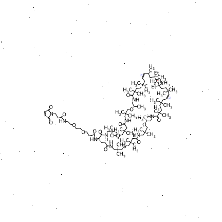 CCC(C)(C)CCC(C)(C)/C=C\CC(C)(C)CCC(C)(C)C(=O)NCC(C)OCC(C)(C)CNC(=O)CC(C)(C)COCC(C)(C)CNC(=O)CC[C@H](NC(=O)CCOCCOCCNC(=O)CCN1C(=O)C=CC1=O)C(=O)NCC(C)(C)COCC(C)(C)CC(=O)NCC(C)(C)COC(C)CNC(=O)C(C)(C)CCC(C)(C)C/C=C\C(C)CC(C)(C)CC